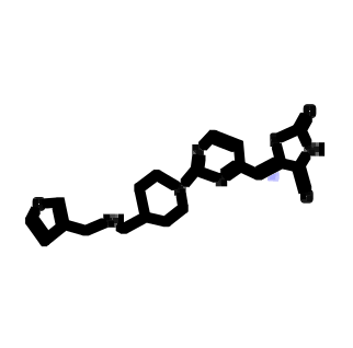 O=C1NC(=O)/C(=C/c2ccnc(N3CCC(CNCc4ccoc4)CC3)n2)S1